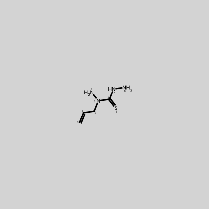 C=CCN(N)C(=S)NN